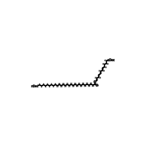 CCCCCCCCCCCCCCCCCCCCCCCCCCCCCCCCCCCCCCC(=O)OCCCCCCCCCCCCCCCCCCCCCC